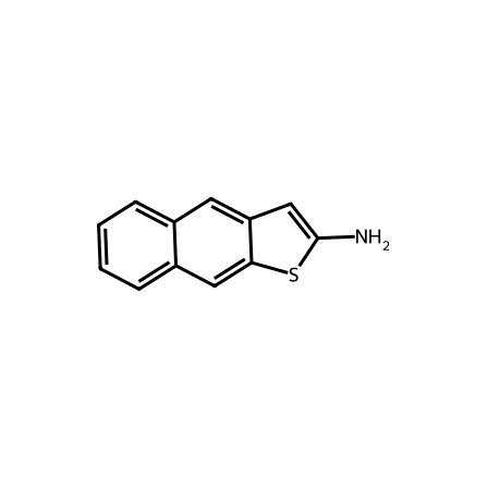 Nc1cc2cc3ccccc3cc2s1